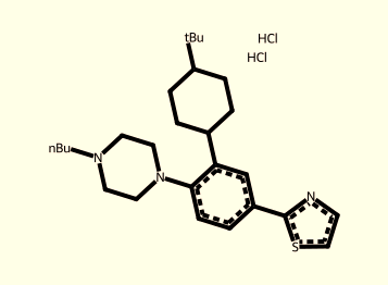 CCCCN1CCN(c2ccc(-c3nccs3)cc2C2CCC(C(C)(C)C)CC2)CC1.Cl.Cl